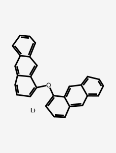 [Li].c1ccc2cc3c(Oc4cccc5cc6ccccc6cc45)cccc3cc2c1